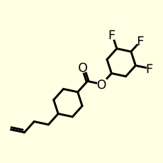 C=CCCC1CCC(C(=O)OC2CC(F)C(F)C(F)C2)CC1